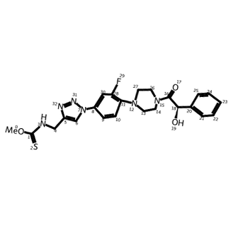 COC(=S)NCc1cn(-c2ccc(N3CCN(C(=O)[C@H](O)c4ccccc4)CC3)c(F)c2)nn1